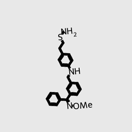 CO/N=C(/c1ccccc1)c1cccc(CNc2ccc(CCSN)cc2)c1